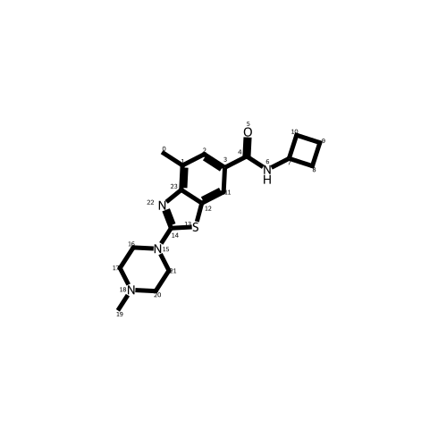 Cc1cc(C(=O)NC2CCC2)cc2sc(N3CCN(C)CC3)nc12